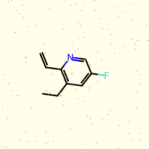 C=Cc1ncc(F)cc1[CH]C